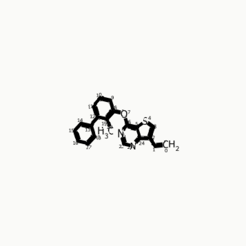 C=Cc1csc2c(Oc3cccc(-c4ccccc4)c3C)ncnc12